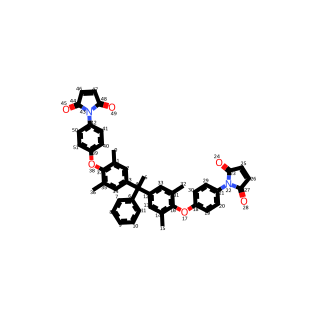 Cc1cc(C(C)(c2ccccc2)c2cc(C)c(Oc3ccc(N4C(=O)C=CC4=O)cc3)c(C)c2)cc(C)c1Oc1ccc(N2C(=O)C=CC2=O)cc1